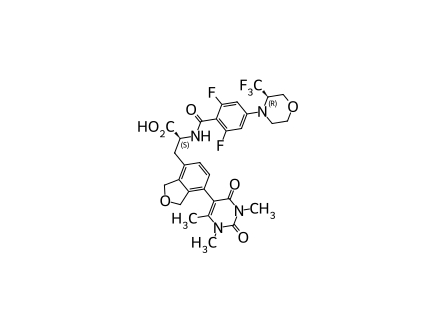 Cc1c(-c2ccc(C[C@H](NC(=O)c3c(F)cc(N4CCOC[C@@H]4C(F)(F)F)cc3F)C(=O)O)c3c2COC3)c(=O)n(C)c(=O)n1C